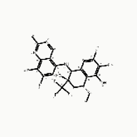 CC[C@@H]1C[C@](O)(C(F)(F)F)C(Nc2cc(F)c(F)c3nc(C)ncc23)c2cc(F)c(F)c(O)c21